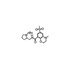 CCCCN1CCCC1CNC(=O)c1cc(S(C)(=O)=O)cc2c1OCCN2C